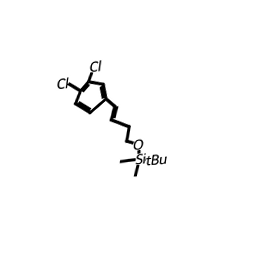 CC(C)(C)[Si](C)(C)OCCC=Cc1ccc(Cl)c(Cl)c1